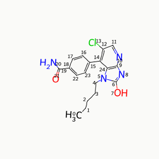 CCCCCn1c(O)nc2ncc(Cl)c(-c3ccc(C(N)=O)cc3)c21